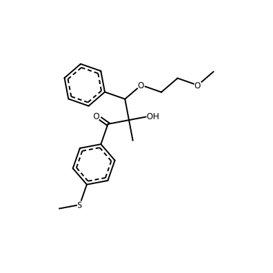 COCCOC(c1ccccc1)C(C)(O)C(=O)c1ccc(SC)cc1